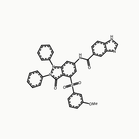 COc1cccc(S(=O)(=O)c2cc(NC(=O)c3ccc4[nH]cnc4c3)cc3c2c(=O)n(-c2ccccc2)n3-c2ccccc2)c1